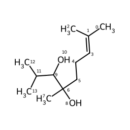 CC(C)=CCCC(C)(O)C(O)C(C)C